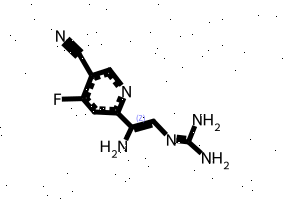 N#Cc1cnc(/C(N)=C/N=C(N)N)cc1F